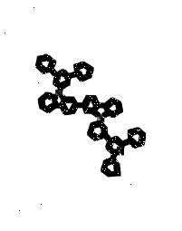 c1ccc(-c2cc(-c3ccccc3)cc(-n3c4ccccc4c4ccc(-c5ccc6c7ccccc7n(-c7cccc(-c8cc(-c9ccccc9)nc(-c9ccccc9)c8)c7)c6c5)cc43)c2)cc1